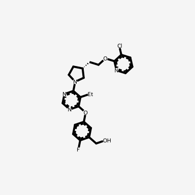 CCc1c(Oc2ccc(F)c(CO)c2)ncnc1N1CC[C@H](CCOc2ncccc2Cl)C1